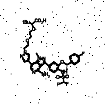 C[C@H](Oc1cc(-c2nn(C)c3c(-c4cnn(CCOCCOC(C(=O)O)C(C)(C)C)c4)cnc(N)c23)ccc1NS(=O)(=O)C(F)F)c1ccc(F)cc1